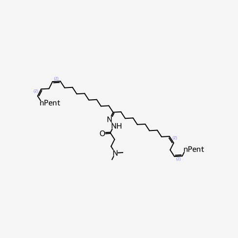 CCCCC/C=C\C/C=C\CCCCCCCCC(CCCCCCCC/C=C\C/C=C\CCCCC)=NNC(=O)CCN(C)C